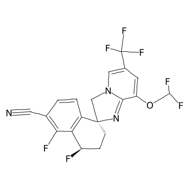 N#Cc1ccc2c(c1F)[C@H](F)CC[C@@]21CN2C=C(C(F)(F)F)C=C(OC(F)F)C2=N1